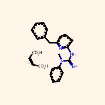 CN(C(=N)Nc1cccc(Cc2ccccc2)n1)c1ccccc1.O=C(O)/C=C\C(=O)O